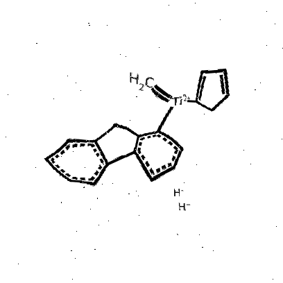 [CH2]=[Ti+2]([C]1=CC=CC1)[c]1cccc2c1Cc1ccccc1-2.[H-].[H-]